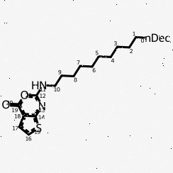 CCCCCCCCCCCCCCCCCCCCNc1nc2sccc2c(=O)o1